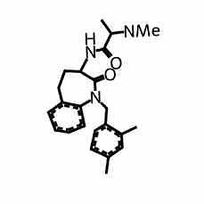 CNC(C)C(=O)NC1CCc2ccccc2N(Cc2ccc(C)cc2C)C1=O